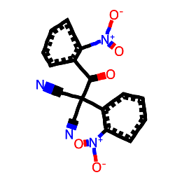 N#CC(C#N)(C(=O)c1ccccc1[N+](=O)[O-])c1ccccc1[N+](=O)[O-]